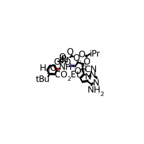 CCOC(=O)[C@H](C)NP(=O)(O/C=C1/O[C@@](C#N)(c2ccc3c(N)ncnn23)[C@H](OC(=O)C(C)C)[C@@H]1OC(=O)C(C)C)Oc1ccc(C(C)(C)C)cc1